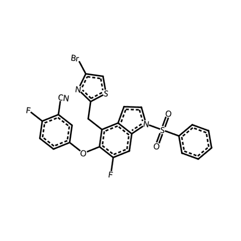 N#Cc1cc(Oc2c(F)cc3c(ccn3S(=O)(=O)c3ccccc3)c2Cc2nc(Br)cs2)ccc1F